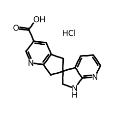 Cl.O=C(O)c1cnc2c(c1)CC1(CNc3ncccc31)C2